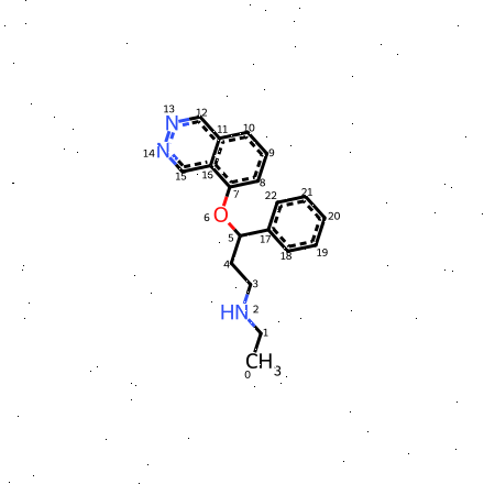 CCNCCC(Oc1cccc2cnncc12)c1ccccc1